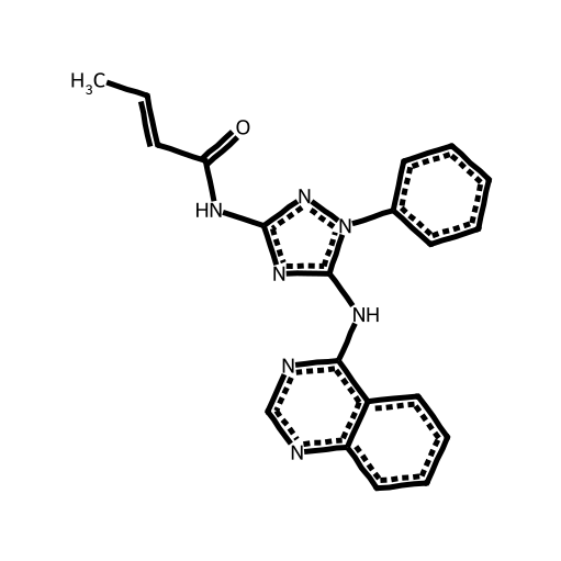 C/C=C/C(=O)Nc1nc(Nc2ncnc3ccccc23)n(-c2ccccc2)n1